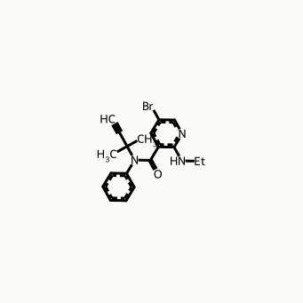 C#CC(C)(C)N(C(=O)c1cc(Br)cnc1NCC)c1ccccc1